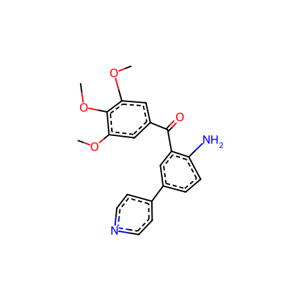 COc1cc(C(=O)c2cc(-c3ccncc3)ccc2N)cc(OC)c1OC